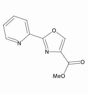 COC(=O)c1coc(-c2ccccn2)n1